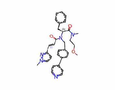 COCCN(C)C(=O)[C@H](Cc1ccccc1)N(Cc1ccc(-c2ccncc2)cc1)C(=O)/C=C/c1ccn(C)n1